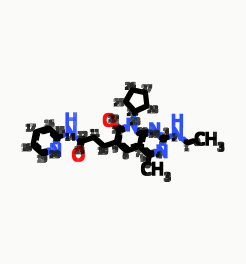 CCNc1nc(C)c2cc(CCC(=O)Nc3ccccn3)c(=O)n(C3CCCC3)c2n1